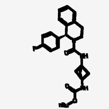 CCCCOC(=O)NC12CC(NC(=O)N3CCc4ccccc4[C@H]3c3ccc(F)cc3)(C1)C2